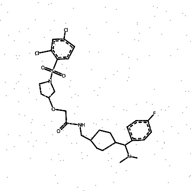 CN(C)C(c1ccc(F)cc1)C1CCC(CNC(=O)COC2CCN(S(=O)(=O)c3ccc(Cl)cc3Cl)C2)CC1